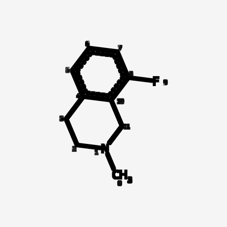 CN1CCc2cccc(F)c2C1